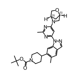 Cc1nc(N2C[C@@H]3C[C@H]2CO3)cc(-n2ncc3cc(C)c(C4CCN(C(=O)OC(C)(C)C)CC4)cc32)n1